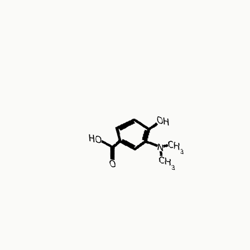 CN(C)c1cc(C(=O)O)ccc1O